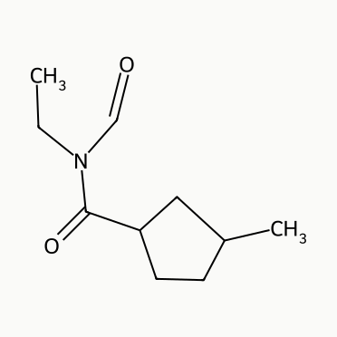 CCN(C=O)C(=O)C1CCC(C)C1